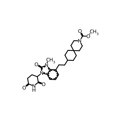 COC(=O)N1CCC2(CCC(CCc3cccc4c3n(C)c(=O)n4C3CCC(=O)NC3=O)CC2)CC1